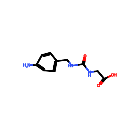 Nc1ccc(CNC(=O)NCC(=O)O)cc1